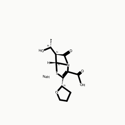 C[C@@H](O)[C@H]1C(=O)N2C(C(=O)O)=C([C@@H]3CCCO3)S[C@H]12.[NaH]